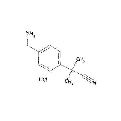 CC(C)(C#N)c1ccc(CN)cc1.Cl